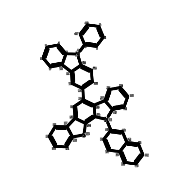 c1ccc(-n2c3ccccc3c3cc(-c4cc5c6ccccc6sc5c5c4c4ccccc4n5-c4ccc5ccccc5c4)ccc32)cc1